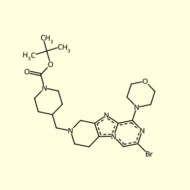 CC(C)(C)OC(=O)N1CCC(CN2CCc3c(nc4c(N5CCOCC5)nc(Br)cn34)C2)CC1